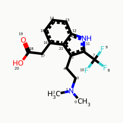 CN(C)CCc1c(C(F)(F)F)[nH]c2cccc(CC(=O)O)c12